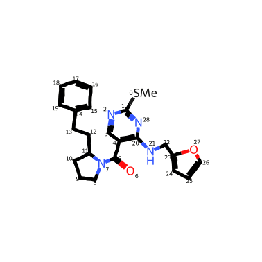 CSc1ncc(C(=O)N2CCCC2CCc2ccccc2)c(NCc2ccco2)n1